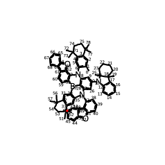 Cc1cc2c(cc1N1c3cc(N4c5ccccc5C5(C)CCCCC45C)cc4c3B(c3cc5c(cc3N4c3cccc4oc6ccccc6c34)C(C)(C)CCC5(C)C)c3ccc4c(oc5ccccc54)c31)C(C)(C)CCC2(C)C